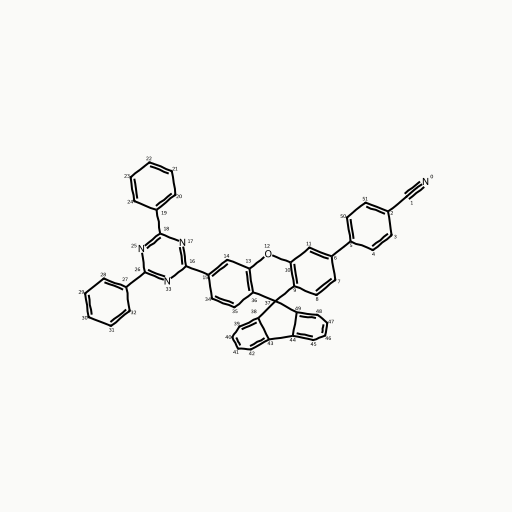 N#Cc1ccc(-c2ccc3c(c2)Oc2cc(-c4nc(-c5ccccc5)nc(-c5ccccc5)n4)ccc2C32c3ccccc3-c3ccccc32)cc1